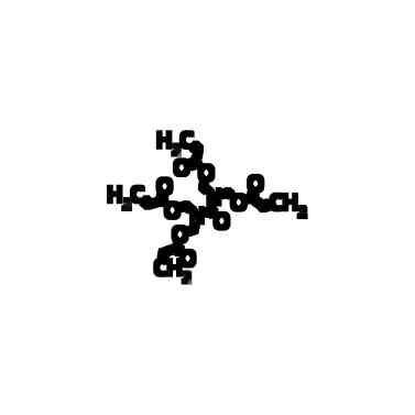 C=CC(=O)OCN(COC(=O)C=C)C(=O)N(COC(=O)C=C)COC(=O)C=C